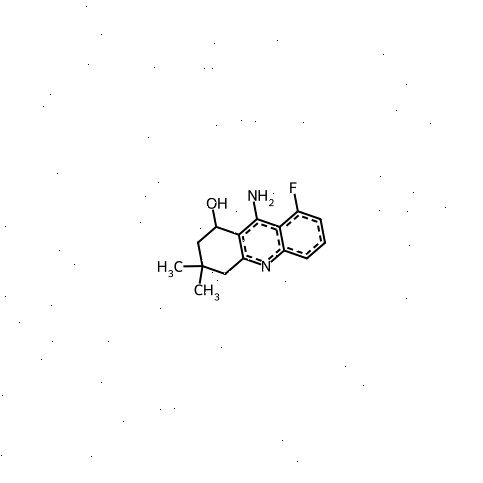 CC1(C)Cc2nc3cccc(F)c3c(N)c2C(O)C1